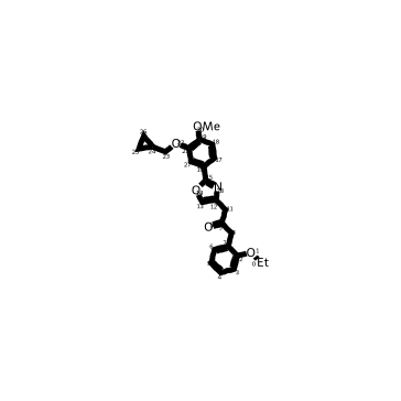 CCOc1ccccc1CC(=O)Cc1coc(-c2ccc(OC)c(OCC3CC3)c2)n1